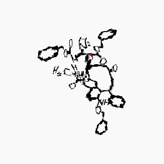 CNC(=O)C1Cc2ccc(NOCc3ccccc3)c(c2C[C@@H](C)C=CN(C(=O)OCc2ccccc2)C(N)=NC(=O)OCc2ccccc2)C(c2ccccc2)CCC(=O)CCC(=O)N1